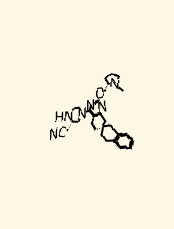 CN1CCC[C@H]1COc1nc2c(c(N3CCN[C@@H](CC#N)C3)n1)CC[C@]1(CCc3ccccc3C1)C2